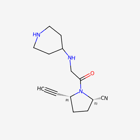 C#C[C@H]1CC[C@@H](C#N)N1C(=O)CNC1CCNCC1